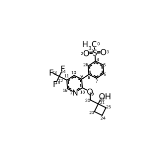 CS(=O)(=O)c1cccc(-c2cc(C(F)(F)F)cnc2OCC2(O)CCC2)c1